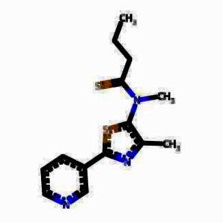 CCCC(=S)N(C)c1sc(-c2cccnc2)nc1C